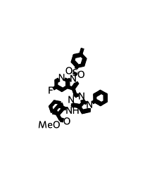 COC(=O)C1C2CCC(CC2)C1Nc1nc(-c2cn(S(=O)(=O)c3ccc(C)cc3)c3ncc(F)cc23)nc2c1ccn2-c1ccccc1